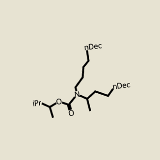 CCCCCCCCCCCCCCN(C(=O)OC(C)C(C)C)C(C)CCCCCCCCCCCC